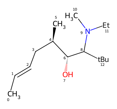 C/C=C/C[C@@H](C)[C@@H](O)C(N(C)CC)C(C)(C)C